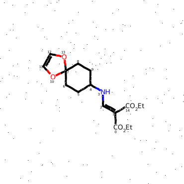 CCOC(=O)C(=CNC1CCC2(CC1)OC=CO2)C(=O)OCC